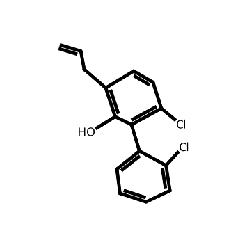 C=CCc1ccc(Cl)c(-c2ccccc2Cl)c1O